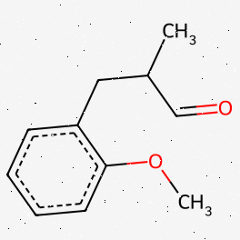 COc1ccccc1CC(C)C=O